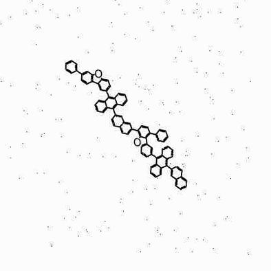 c1ccc(-c2ccc3c(c2)oc2ccc(-c4c5ccccc5c(-c5ccc6ccc(-c7ccc(-c8ccccc8)c8c7oc7ccc(-c9c%10ccccc%10c(-c%10ccc%11ccccc%11c%10)c%10ccccc9%10)cc78)cc6c5)c5ccccc45)cc23)cc1